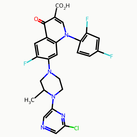 CC1CN(c2cc3c(cc2F)c(=O)c(C(=O)O)cn3-c2ccc(F)cc2F)CCN1c1cncc(Cl)n1